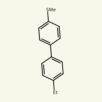 CCc1ccc(-c2ccc(SC)cc2)cc1